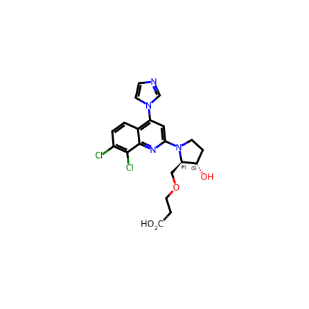 O=C(O)CCOC[C@@H]1[C@@H](O)CCN1c1cc(-n2ccnc2)c2ccc(Cl)c(Cl)c2n1